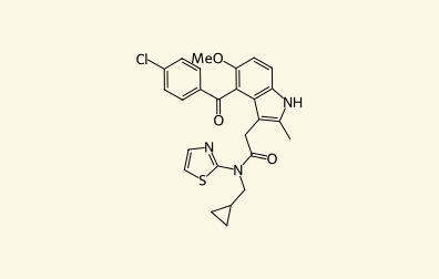 COc1ccc2[nH]c(C)c(CC(=O)N(CC3CC3)c3nccs3)c2c1C(=O)c1ccc(Cl)cc1